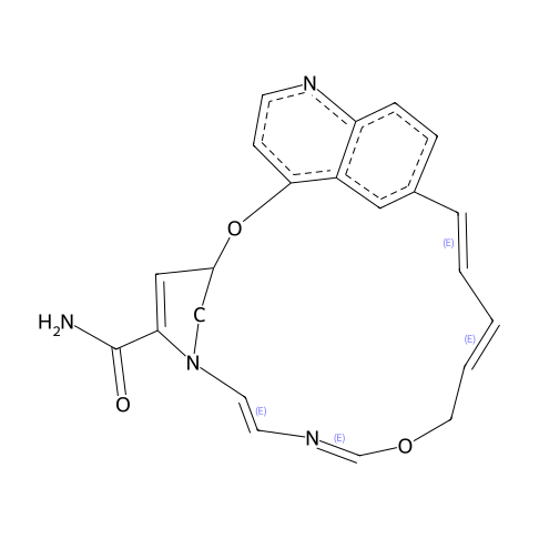 NC(=O)C1=CC2CN1/C=C/N=C/OC/C=C/C=C/c1ccc3nccc(c3c1)O2